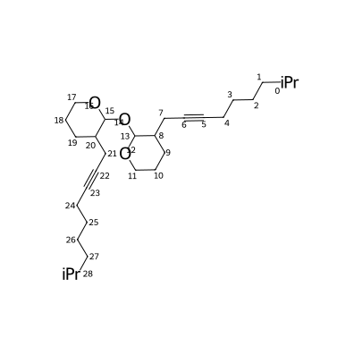 CC(C)CCCCC#CCC1CCCOC1OC1OCCCC1CC#CCCCCC(C)C